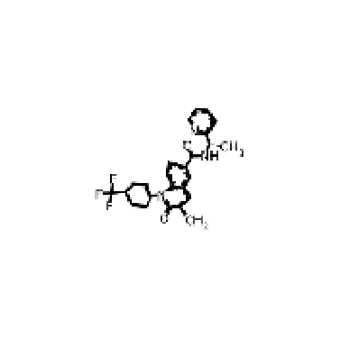 Cc1cc2cc(C(=O)N[C@@H](C)c3ccccn3)ccc2n(C2=CCC(C(F)(F)F)C=C2)c1=O